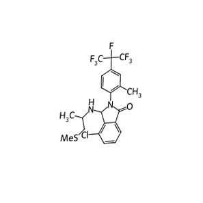 CSCC(C)NC1c2c(Cl)cccc2C(=O)N1c1ccc(C(F)(C(F)(F)F)C(F)(F)F)cc1C